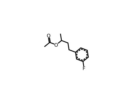 CC(=O)OC(C)CCc1cccc(F)c1